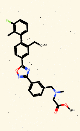 COCc1cc(-c2nc(-c3cccc(CN(C)CC(=O)OC(C)(C)C)c3)no2)ccc1-c1cccc(F)c1C